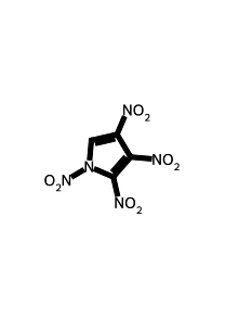 O=[N+]([O-])c1cn([N+](=O)[O-])c([N+](=O)[O-])c1[N+](=O)[O-]